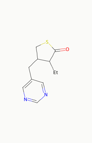 CCC1C(=O)SCC1Cc1cncnc1